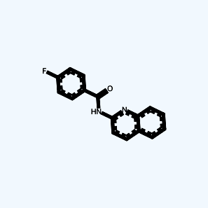 O=C(Nc1ccc2ccccc2n1)c1ccc(F)cc1